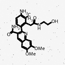 COc1cc2cc(C(N)=O)c(-c3ccc(N)c(C)c3CC(=O)NCCO)nc2cc1OC